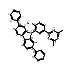 Cc1nc(C)nc(-c2ccc(C#N)c(-n3c4cc(-c5ccccc5)ccc4c4ccc(-c5ccccc5)cc43)c2)n1